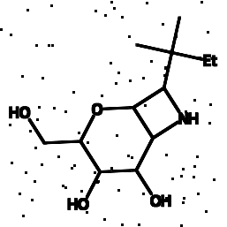 CCC(C)(C)C1NC2C(O)C(O)C(CO)OC21